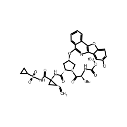 C=C[C@@H]1C[C@]1(NC(=O)[C@@H]1C[C@@H](Oc2nc3c4cc(Cl)ccc4oc3c3ccccc23)CN1C(=O)[C@@H](NC(=O)OC(C)(C)C)C(C)(C)C)C(=O)NS(=O)(=O)C1CC1